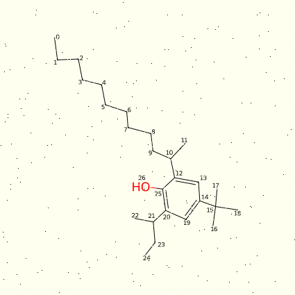 CCCCCCCCCCC(C)c1cc(C(C)(C)C)cc(C(C)CC)c1O